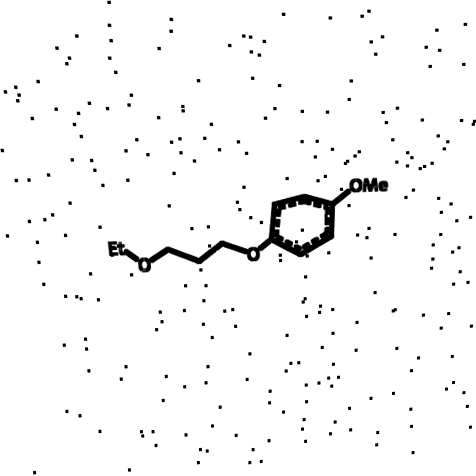 CCOCCCOc1ccc(OC)cc1